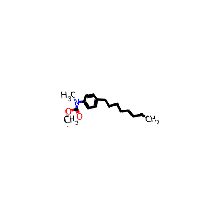 [CH2]OC(=O)N(C)c1ccc(CCCCCCCC)cc1